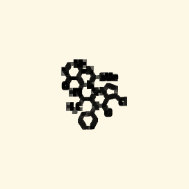 CSc1nc(NC(C)c2nn3ccc(Cl)c3c(=O)n2-c2ccccc2)c2c(=O)nc[nH]c2n1